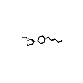 CCCCC[C@H]1CC[C@H](C(C=O)=COCC)CC1